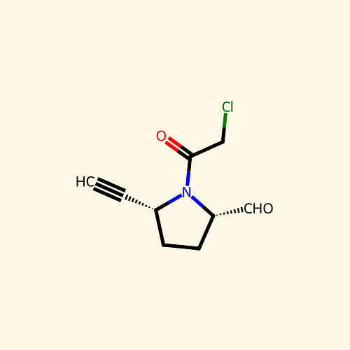 C#C[C@H]1CC[C@@H](C=O)N1C(=O)CCl